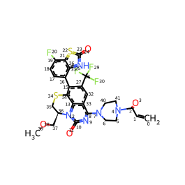 C=CC(=O)N1CCN(c2nc(=O)n3c4c(c(-c5ccc(F)c6sc(=O)[nH]c56)c(C(F)(F)F)cc24)SC[C@@H]3COC)CC1